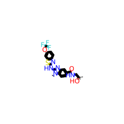 C[C@H](O)CNC(=O)c1ccc2c(c1)nc(Nc1nc3ccc(OC(F)(F)F)cc3s1)n2C